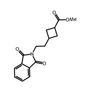 COC(=O)C1CC(CCN2C(=O)c3ccccc3C2=O)C1